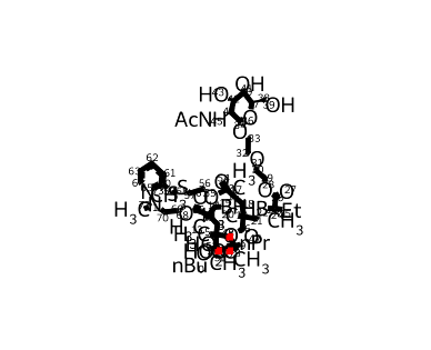 CCCCOC(=O)C(C)(CC(C)(CCC)C(=O)O)CC(C)(CBC(C)(CC(C)(CBC(C)(CC)C(=O)OCCOCCO[C@@H]1O[C@H](CO)[C@H](O)[C@H](O)[C@H]1NC(C)=O)C(=O)OCC(C)O)C(=O)OCCSSc1ccccn1)C(=O)OCCN(C)C